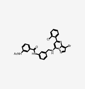 CC(=O)Nc1cccc(C(=O)Nc2cccc(CNc3cc(-c4ccccc4Cl)nc4c(Br)cnn34)c2)c1